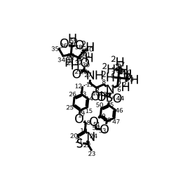 [2H]C([2H])([2H])C([2H])(CN(C[C@@H](O)[C@H](Cc1ccc(OCc2csc(C)n2)cc1)NC(=O)O[C@]1([2H])[C@@H]2CCO[C@@H]2OC1([2H])[2H])S(=O)(=O)c1ccc2c(c1)OCO2)C([2H])([2H])[2H]